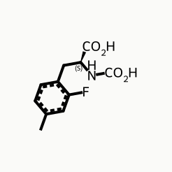 Cc1ccc(C[C@H](NC(=O)O)C(=O)O)c(F)c1